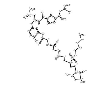 CN[C@H](C[C@@H](OC(C)=O)c1nc(C(=O)N[C@@H](Cc2ccc(O)c(NC(=O)CNC(=O)CNC(=O)CCN(CCN3C(=O)C(S)CC3O)S(=O)(=O)CCOCCOC)c2)C[C@H](C)C(=O)O)cs1)C(C)C